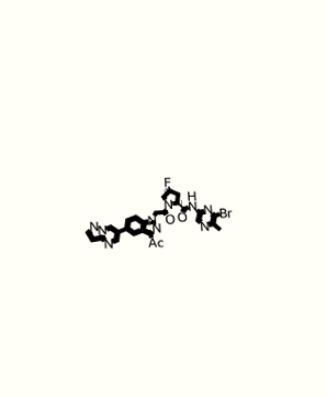 CC(=O)c1nn(CC(=O)N2C[C@H](F)C[C@H]2C(=O)Nc2cnc(C)c(Br)n2)c2ccc(-c3cnc4ccnn4c3)cc12